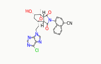 C[C@]12O[C@](CCn3cnc4c(Cl)ncnc43)(C[C@@H]1O)[C@H]1C(=O)N(c3ccc(C#N)c4ccccc34)C(=O)[C@H]12